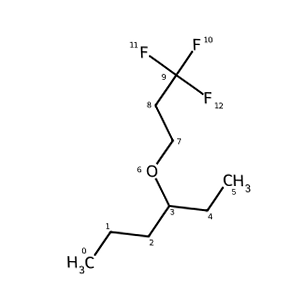 CCCC(CC)OCCC(F)(F)F